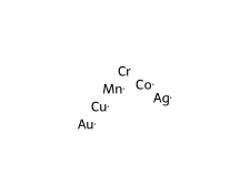 [Ag].[Au].[Co].[Cr].[Cu].[Mn]